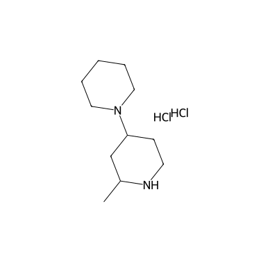 CC1CC(N2CCCCC2)CCN1.Cl.Cl